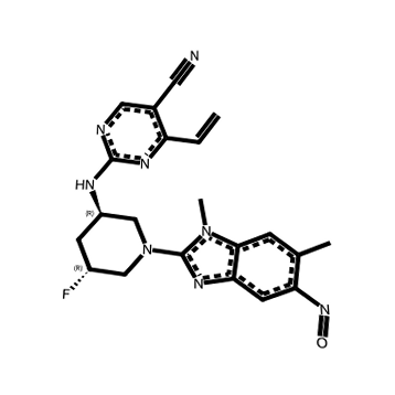 C=Cc1nc(N[C@@H]2C[C@@H](F)CN(c3nc4cc(N=O)c(C)cc4n3C)C2)ncc1C#N